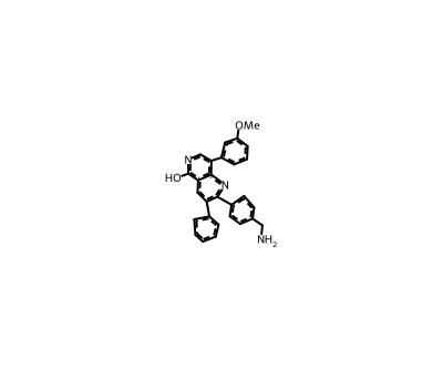 COc1cccc(-c2cnc(O)c3cc(-c4ccccc4)c(-c4ccc(CN)cc4)nc23)c1